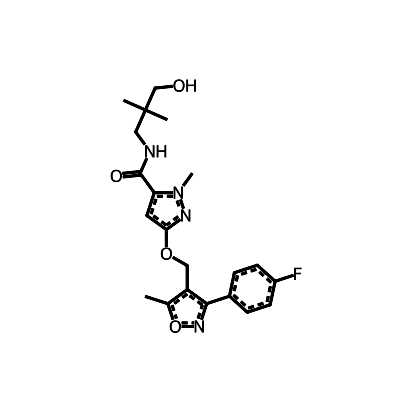 Cc1onc(-c2ccc(F)cc2)c1COc1cc(C(=O)NCC(C)(C)CO)n(C)n1